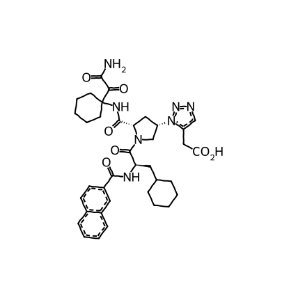 NC(=O)C(=O)C1(NC(=O)[C@@H]2C[C@H](n3nncc3CC(=O)O)CN2C(=O)[C@@H](CC2CCCCC2)NC(=O)c2ccc3ccccc3c2)CCCCC1